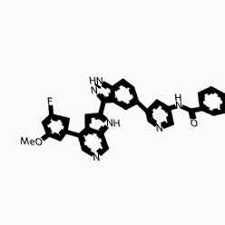 COc1cc(F)cc(-c2cncc3[nH]c(-c4n[nH]c5ccc(-c6cncc(NC(=O)c7ccccc7)c6)cc45)cc23)c1